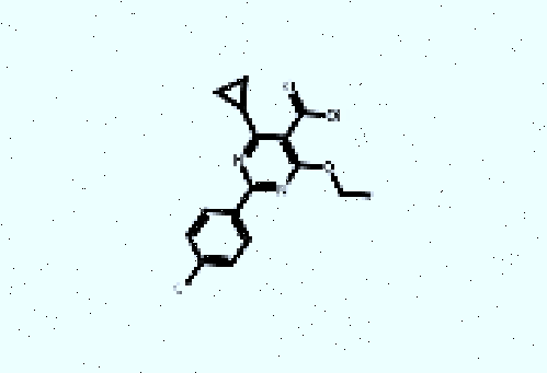 CCOc1nc(-c2ccc(Cl)cc2)nc(C2CC2)c1C(=O)O